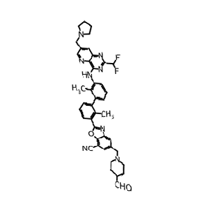 Cc1c(Nc2nc(C(F)F)nc3cc(CN4CCCC4)cnc23)cccc1-c1cccc(-c2nc3cc(CN4CCC(C=O)CC4)cc(C#N)c3o2)c1C